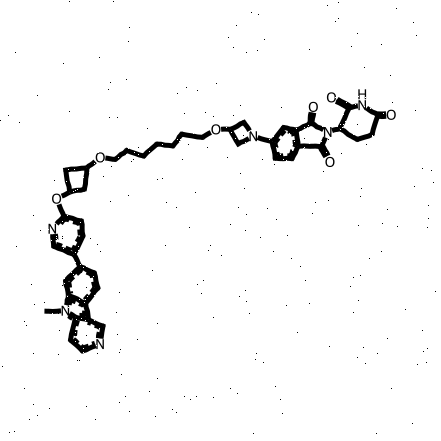 Cn1c2ccncc2c2ccc(-c3ccc(OC4CC(OCCCCCCCOC5CN(c6ccc7c(c6)C(=O)N(C6CCC(=O)NC6=O)C7=O)C5)C4)nc3)cc21